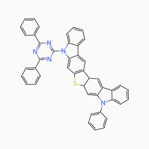 C1=c2c(n(-c3ccccc3)c3ccccc23)=CC2Sc3cc4c(cc3C12)c1ccccc1n4-c1nc(-c2ccccc2)nc(-c2ccccc2)n1